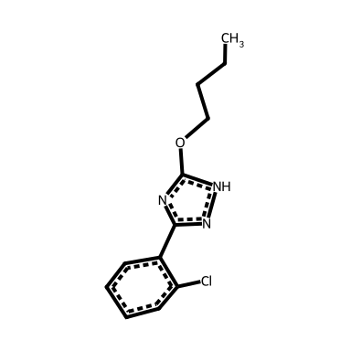 CCCCOc1nc(-c2ccccc2Cl)n[nH]1